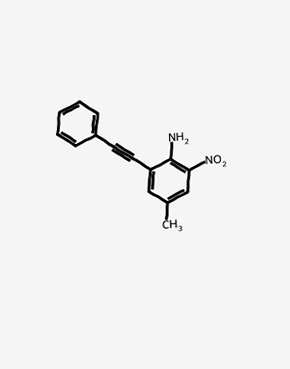 Cc1cc(C#Cc2ccccc2)c(N)c([N+](=O)[O-])c1